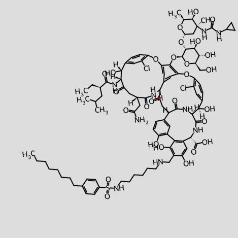 CCCCCCCCc1ccc(S(=O)(=O)NCCCCCCNCc2c(O)cc3c(c2O)-c2cc(ccc2O)[C@H]2CC(=O)[C@@H]4NC(=O)[C@H](CC(N)=O)CC(=O)[C@H](NC(=O)[C@H](CC)CC(C)C)[C@H](O)c5ccc(c(Cl)c5)Oc5cc4cc(c5O[C@@H]4O[C@H](CO)[C@@H](O)[C@H](O)[C@H]4O[C@H]4C[C@](C)(NC(=O)NC5CC5)[C@H](O)[C@H](C)O4)Oc4ccc(cc4Cl)[C@@H](O)[C@H](NC2=O)C(=O)N[C@@H]3C(=O)O)cc1